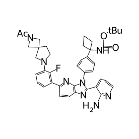 CC(=O)N1CC2(CCN(c3cccc(-c4ccc5nc(-c6cccnc6N)n(-c6ccc(C7(NC(=O)OC(C)(C)C)CCC7)cc6)c5n4)c3F)C2)C1